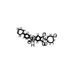 O=C1CCCC(=O)C(N2C(=O)c3ccc(NS(=O)(=O)c4ccc(C5CCCCC5)cc4)cc3C2=O)CC1